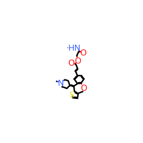 CN1CCC(=C2c3cc(C=CC(=O)OCC([NH])=O)ccc3OCc3ccsc32)CC1